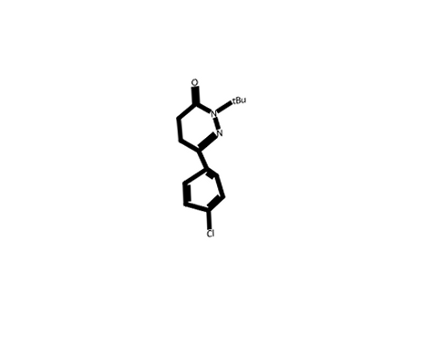 CC(C)(C)N1N=C(c2ccc(Cl)cc2)CCC1=O